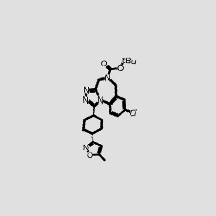 Cc1cc([C@H]2CC[C@H](c3nnc4n3-c3ccc(Cl)cc3CN(C(=O)OC(C)(C)C)C4)CC2)no1